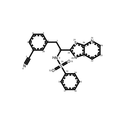 N#Cc1cccc(CC(NS(=O)(=O)c2ccccc2)c2nc3cccnc3s2)c1